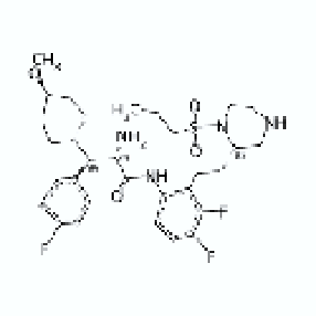 CCCS(=O)(=O)N1CCNC[C@@H]1CCc1c(NC(=O)[C@@H](N)[C@@H](c2ccc(F)cc2)[C@H]2CC[C@H](OC)CC2)ccc(F)c1F